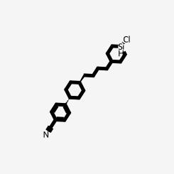 N#Cc1ccc([C@H]2CC[C@H](CCCCC3CC[SiH](Cl)CC3)CC2)cc1